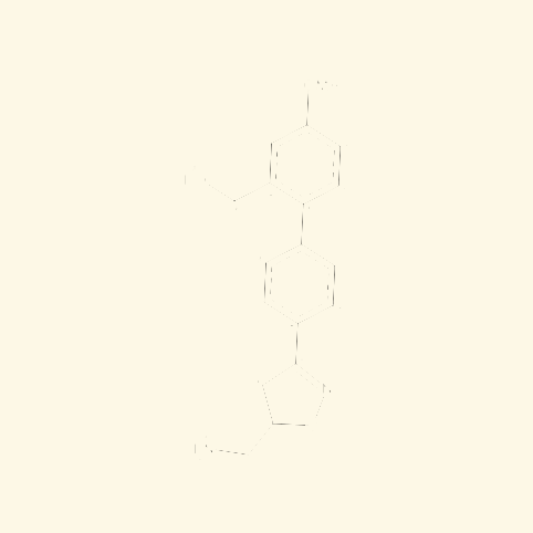 COc1ccc(-c2ccc(C3=NOC(CN)C3)cc2)c(CO)c1